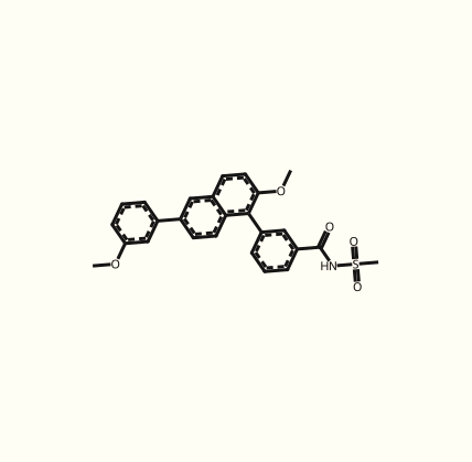 COc1cccc(-c2ccc3c(-c4cccc(C(=O)NS(C)(=O)=O)c4)c(OC)ccc3c2)c1